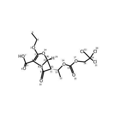 CCOC1=C(C(=O)O)N2C(=O)[C@@H](C(C)OC(=O)OCC(Cl)(Cl)Cl)[C@H]2O1